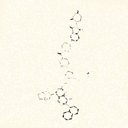 CN1C[C@@H](N2CCC(C(=O)N3CCN(c4ccc5c(c4)C(=O)N(C4CCC(=O)NC4=O)C5=O)CC3)CC2)C[C@H]1COc1nc(N2CC3CCC(C2)N3)c2cnc(-c3cccc4ccccc34)c(F)c2n1.O=CO